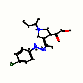 CCC(C)N1CC(=C(C)NNc2ccc(Cl)cc2)C(C(=O)C=O)C1